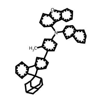 Cc1cc(N(c2ccc3ccccc3c2)c2cccc3oc4ccccc4c23)ccc1-c1ccc2c(c1)-c1ccccc1C21C2CC3CC(C2)CC1C3